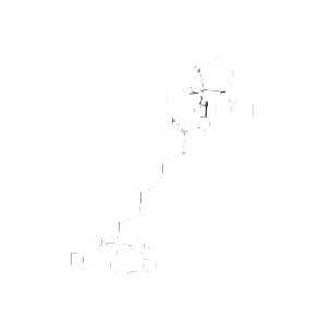 CCO[Si](CCCSCCC(=O)OC1CC2CCC1(C)C2(C)C)(OCC)OCC